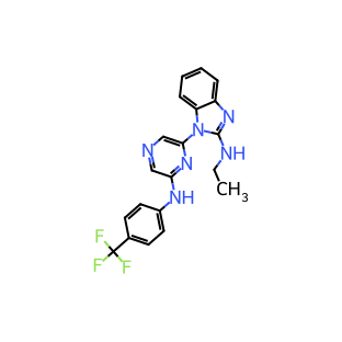 CCNc1nc2ccccc2n1-c1cncc(Nc2ccc(C(F)(F)F)cc2)n1